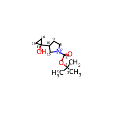 CC(C)(C)OC(=O)N1CCC(C2(O)CC2)C1